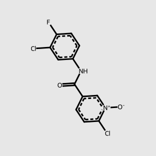 O=C(Nc1ccc(F)c(Cl)c1)c1ccc(Cl)[n+]([O-])c1